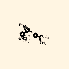 CC#C[C@@H](CC(=O)O)c1ccc(OCc2cc(-c3cccc(C(C)(C)C#N)c3C)c3nc(C(C)C)nn3c2)cc1